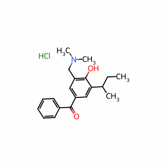 CCC(C)c1cc(C(=O)c2ccccc2)cc(CN(C)C)c1O.Cl